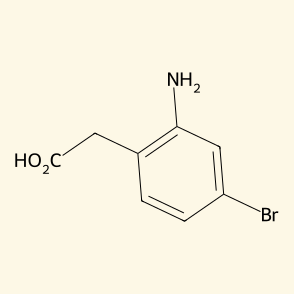 Nc1cc(Br)ccc1CC(=O)O